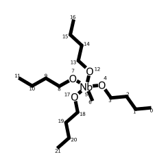 CCCC[O][Nb]([CH3])([O]CCCC)([O]CCCC)[O]CCCC